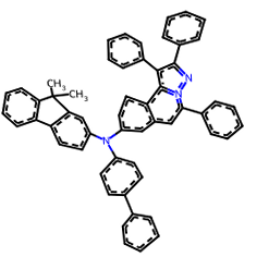 CC1(C)c2ccccc2-c2ccc(N(c3ccc(-c4ccccc4)cc3)c3ccc4c(c3)cc(-c3ccccc3)n3nc(-c5ccccc5)c(-c5ccccc5)c43)cc21